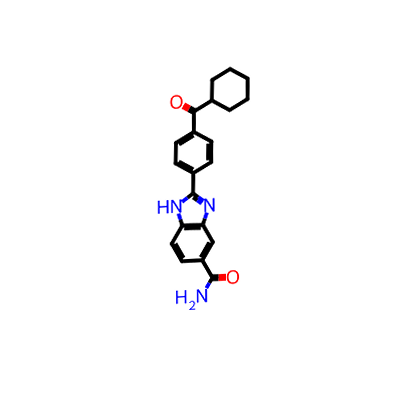 NC(=O)c1ccc2[nH]c(-c3ccc(C(=O)C4CCCCC4)cc3)nc2c1